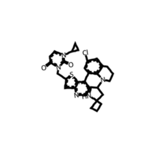 O=c1ccn(C2CC2)c(=O)n1Cc1cc2nccc(-c3cc(Cl)cc4c3N(C3CNC5(CCC5)C3)CCC4)c2s1